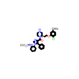 CCOC(=O)N[C@H]1CCCC[C@@H]1n1cnc(C(=O)N2CCNC[C@H]2CCOc2cc(OC)ccc2Cl)c1-c1ccccc1